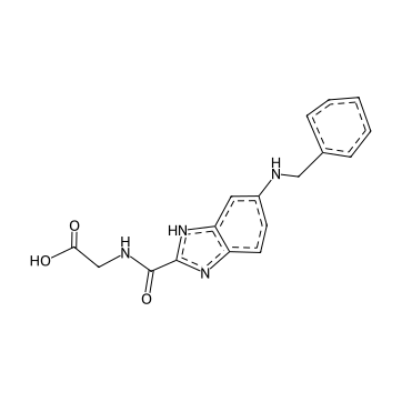 O=C(O)CNC(=O)c1nc2ccc(NCc3ccccc3)cc2[nH]1